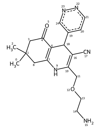 CC1(C)CC(=O)C2=C(C1)NC(COCCN)=C(C#N)C2c1ccnnc1